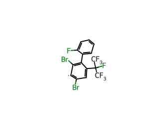 Fc1ccccc1-c1c(Br)[c]c(Br)cc1C(F)(C(F)(F)F)C(F)(F)F